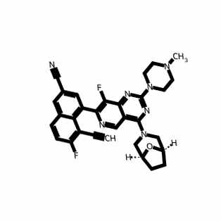 C#Cc1c(F)ccc2cc(C#N)cc(-c3ncc4c(N5C[C@H]6CC[C@@H](C5)O6)nc(N5CCN(C)CC5)nc4c3F)c12